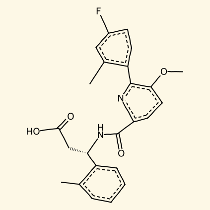 COc1ccc(C(=O)N[C@@H](CC(=O)O)c2ccccc2C)nc1-c1ccc(F)cc1C